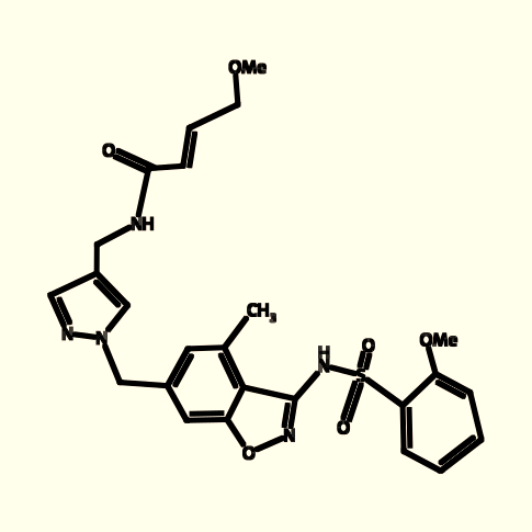 COC/C=C/C(=O)NCc1cnn(Cc2cc(C)c3c(NS(=O)(=O)c4ccccc4OC)noc3c2)c1